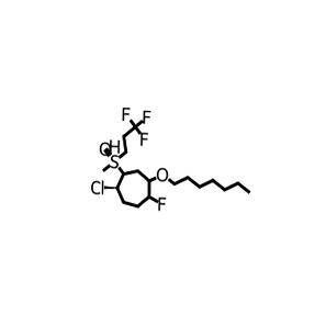 CCCCCCCOC1CC([SH](C)(=O)CCC(F)(F)F)[C@H](Cl)CCC1F